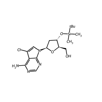 CC(C)(C)[Si](C)(C)O[C@H]1C[C@H](n2cc(Cl)c3c(N)ncnc32)O[C@@H]1CO